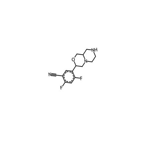 N#Cc1cc(C2CN3CCNCC3CO2)c(F)cc1F